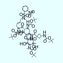 CN(C(=O)OC(C)(C)C)[C@@H]1[C@@H](O)[C@@H](O[C@H]2[C@H](NC(=O)C3(O)CC(NC(=O)OC(C)(C)C)C3)C[C@H](NC(=O)OC(C)(C)C)C([C@H]3OC(CN(C)S(=O)(=O)c4ccccc4[N+](=O)[O-])=CC[C@H]3NC(=O)OC(C)(C)C)[C@@H]2O)OC[C@]1(C)O